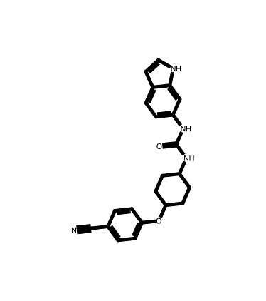 N#Cc1ccc(OC2CCC(NC(=O)Nc3ccc4cc[nH]c4c3)CC2)cc1